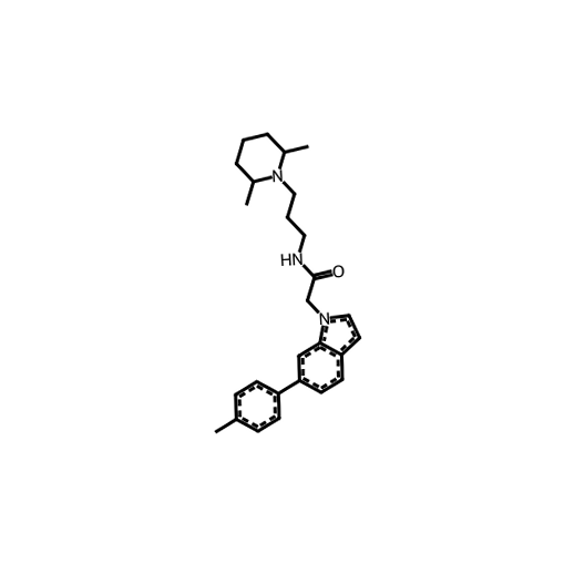 Cc1ccc(-c2ccc3ccn(CC(=O)NCCCN4C(C)CCCC4C)c3c2)cc1